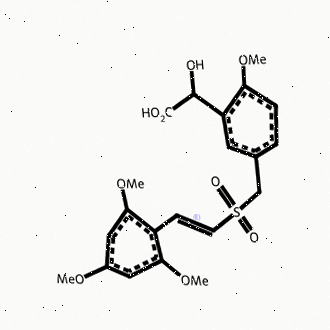 COc1cc(OC)c(/C=C/S(=O)(=O)Cc2ccc(OC)c(C(O)C(=O)O)c2)c(OC)c1